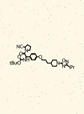 CC(C)c1noc(N2CCC(CCCOc3ccc([C@@H](NC(=O)OC(C)(C)C)C(=O)N4CCCC4C#N)cc3)CC2)n1